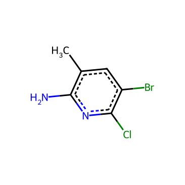 Cc1cc(Br)c(Cl)nc1N